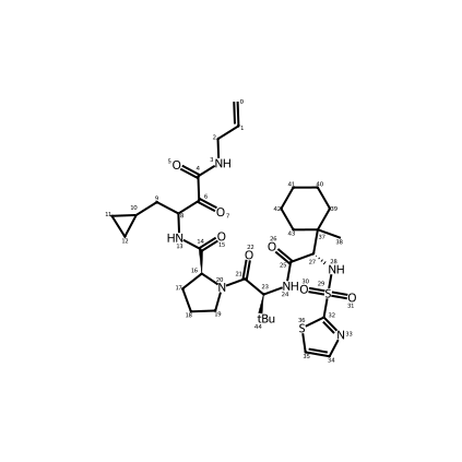 C=CCNC(=O)C(=O)C(CC1CC1)NC(=O)[C@@H]1CCCN1C(=O)[C@@H](NC(=O)[C@@H](NS(=O)(=O)c1nccs1)C1(C)CCCCC1)C(C)(C)C